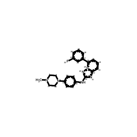 CN1CCN(c2ccc(Nc3nc4cccc(-c5cccc(F)c5)n4n3)cc2)CC1